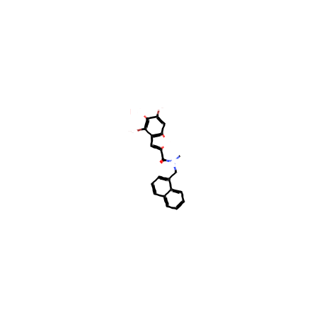 CN(Cc1cccc2ccccc12)C(=O)c1cc2c(Br)c(O)c(Br)cc2o1